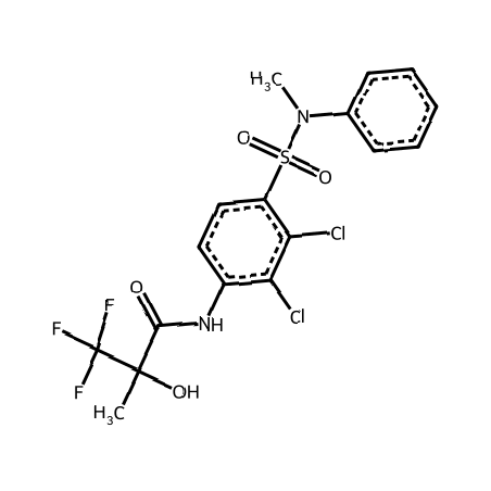 CN(c1ccccc1)S(=O)(=O)c1ccc(NC(=O)C(C)(O)C(F)(F)F)c(Cl)c1Cl